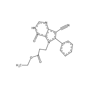 CCOC(=O)CCn1c(-c2ccccc2)c(C#N)c2nc[nH]c(=O)c21